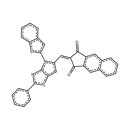 O=C1C(=Cc2cc3sc(-c4ccccc4)nc3n2-c2cc3ccccc3s2)C(=O)c2cc3ccccc3cc21